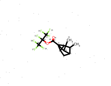 CC1C2CC3C1C3(C(=O)OC(F)(C(F)(F)F)C(F)(F)F)C2C